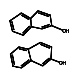 Oc1ccc2ccccc2c1.Oc1ccc2ccccc2c1